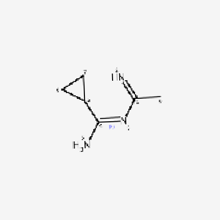 CC(=N)/N=C(/N)C1CC1